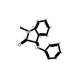 CN1C(=O)/C(=N/c2ccccc2)c2ccccc21